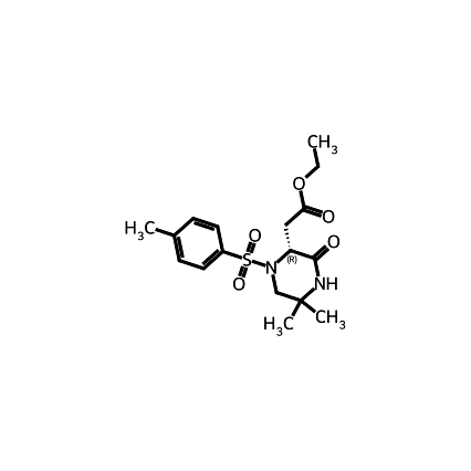 CCOC(=O)C[C@@H]1C(=O)NC(C)(C)CN1S(=O)(=O)c1ccc(C)cc1